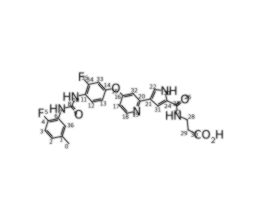 Cc1ccc(F)c(NC(=O)Nc2ccc(Oc3ccnc(-c4c[nH]c(C(=O)NCCC(=O)O)c4)c3)cc2F)c1